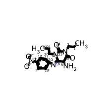 CCCN1C(=O)C(N)/C(=N/c2ccc([N+](=O)[O-])cc2)N(CCC)C1=O